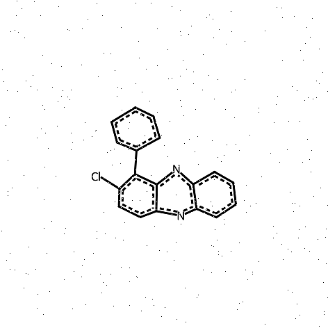 Clc1ccc2nc3ccccc3nc2c1-c1ccccc1